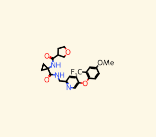 COc1ccc(Oc2ccc(CNC(=O)C3(NC(=O)C4CCOC4)CC3)nc2)c(C(F)(F)F)c1